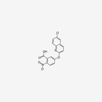 O=C(O)c1cc(Oc2ccc3cc(Cl)ccc3n2)ccc1[N+](=O)[O-]